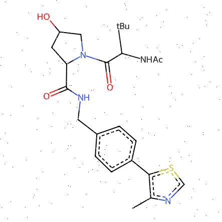 CC(=O)NC(C(=O)N1CC(O)CC1C(=O)NCc1ccc(-c2scnc2C)cc1)C(C)(C)C